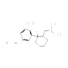 COc1cccc(C2(Cl)CCCCC2CN(C)C)c1.Cl